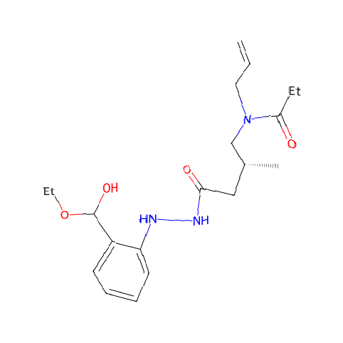 C=CCN(C[C@H](C)CC(=O)NNc1ccccc1C(O)OCC)C(=O)CC